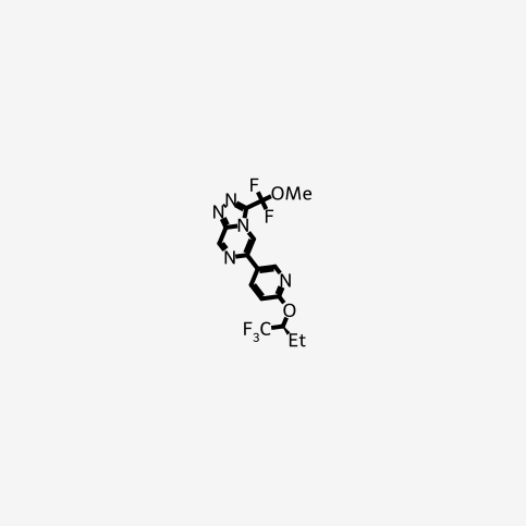 CC[C@H](Oc1ccc(-c2cn3c(C(F)(F)OC)nnc3cn2)cn1)C(F)(F)F